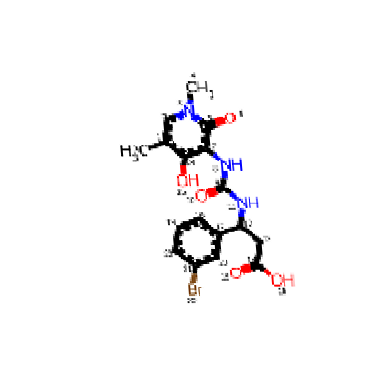 Cc1cn(C)c(=O)c(NC(=O)NC(CC(=O)O)c2cccc(Br)c2)c1O